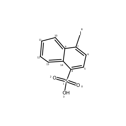 O=S(=O)(O)c1ccc(I)c2ccccc12